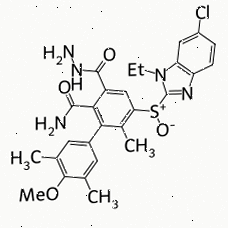 CCn1c([S+]([O-])c2cc(C(=O)NN)c(C(N)=O)c(-c3cc(C)c(OC)c(C)c3)c2C)nc2ccc(Cl)cc21